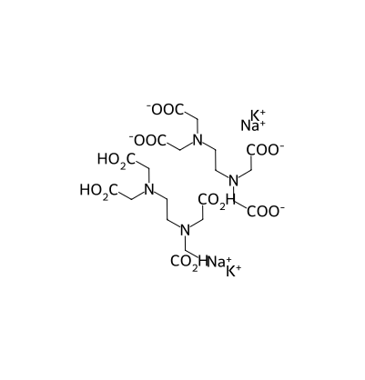 O=C(O)CN(CCN(CC(=O)O)CC(=O)O)CC(=O)O.O=C([O-])CN(CCN(CC(=O)[O-])CC(=O)[O-])CC(=O)[O-].[K+].[K+].[Na+].[Na+]